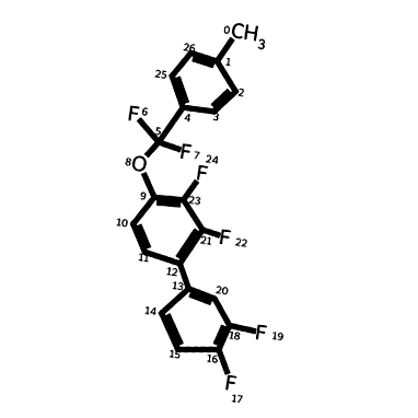 Cc1ccc(C(F)(F)Oc2ccc(-c3ccc(F)c(F)c3)c(F)c2F)cc1